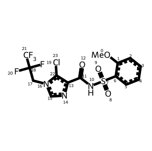 COc1ccccc1S(=O)(=O)NC(=O)c1ncn(CC(F)(F)C(F)(F)F)c1Cl